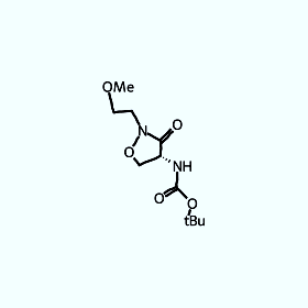 COCCN1OC[C@@H](NC(=O)OC(C)(C)C)C1=O